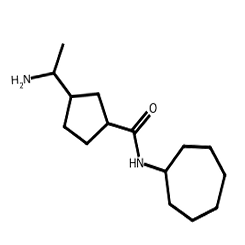 CC(N)C1CCC(C(=O)NC2CCCCCC2)C1